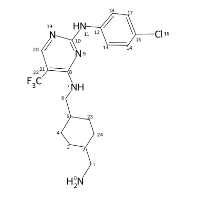 NCC1CCC(CNc2nc(Nc3ccc(Cl)cc3)ncc2C(F)(F)F)CC1